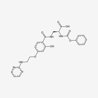 O=C(N[C@@H](CNC(=O)c1ccc(OCCNc2ncccn2)cc1O)C(=O)O)Oc1ccccc1